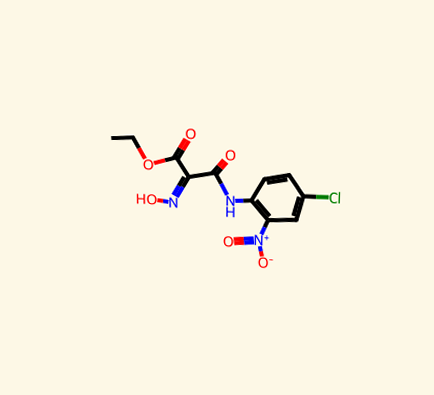 CCOC(=O)C(=NO)C(=O)Nc1ccc(Cl)cc1[N+](=O)[O-]